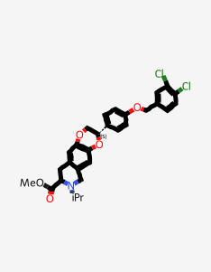 COC(=O)C1Cc2cc3c(cc2CN1C(C)C)O[C@@H](c1ccc(OCc2ccc(Cl)c(Cl)c2)cc1)CO3